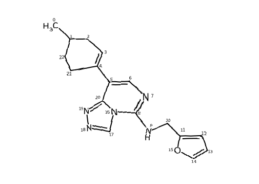 CC1CC=C(c2cnc(NCc3ccco3)n3cnnc23)CC1